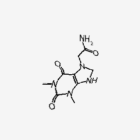 Cn1c2c(c(=O)n(C)c1=O)N(CC(N)=O)CN2